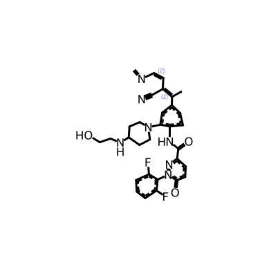 C=N/C=C\C(C#N)=C(/C)c1ccc(NC(=O)c2ccc(=O)n(-c3c(F)cccc3F)n2)c(N2CCC(NCCO)CC2)c1